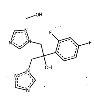 CO.OC(Cn1cncn1)(Cn1cncn1)c1ccc(F)cc1F